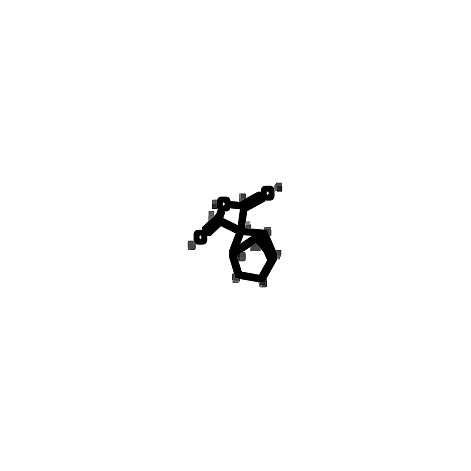 O=C1OC(=O)C12C=C1CCC2C1